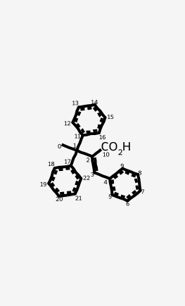 CC(C(=Cc1ccccc1)C(=O)O)(c1ccccc1)c1ccccc1